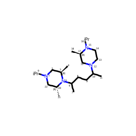 CC(C)N1C[C@@H](C)N(C(C)CCC(C)N2CCN(C(C)C)[C@H](C)C2)[C@H](C)C1